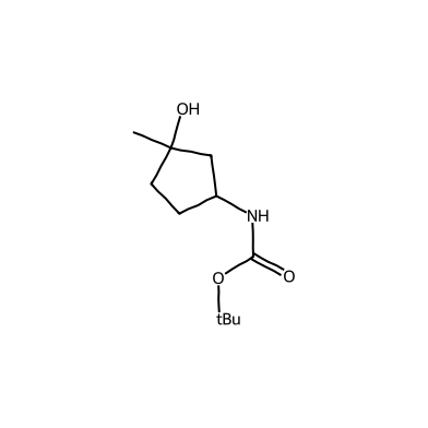 CC1(O)CCC(NC(=O)OC(C)(C)C)C1